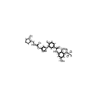 CCN1CCC[C@@H]1CNC(=O)Oc1cn(-c2cc(C(=O)Nc3cc(C(C)(C)C)cc(NS(C)(=O)=O)c3OC)ccc2C)nn1